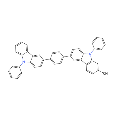 N#Cc1ccc2c3cc(-c4ccc(-c5ccc6c(c5)c5ccccc5n6-c5ccccc5)cc4)ccc3n(-c3ccccc3)c2c1